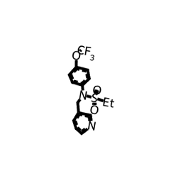 CCS(=O)(=O)N(Cc1cccnc1)c1ccc(OC(F)(F)F)cc1